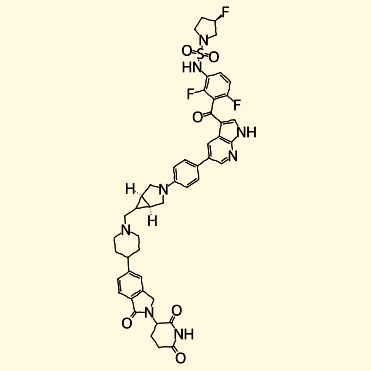 O=C1CCC(N2Cc3cc(C4CCN(CC5[C@H]6CN(c7ccc(-c8cnc9[nH]cc(C(=O)c%10c(F)ccc(NS(=O)(=O)N%11CC[C@@H](F)C%11)c%10F)c9c8)cc7)C[C@@H]56)CC4)ccc3C2=O)C(=O)N1